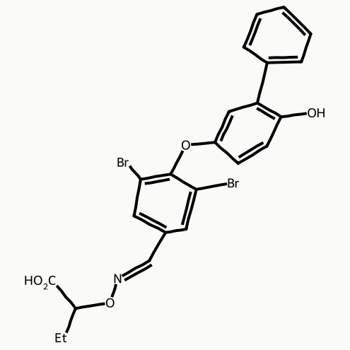 CCC(ON=Cc1cc(Br)c(Oc2ccc(O)c(-c3ccccc3)c2)c(Br)c1)C(=O)O